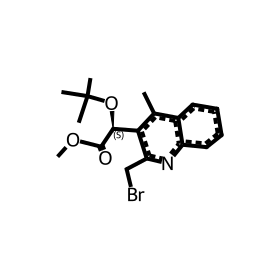 COC(=O)[C@@H](OC(C)(C)C)c1c(CBr)nc2ccccc2c1C